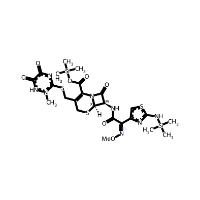 CO/N=C(\C(=O)N[C@@H]1C(=O)N2C(C(=O)O[Si](C)(C)C)=C(CSc3nc(=O)c(=O)[nH]n3C)CS[C@H]12)c1csc(N[Si](C)(C)C)n1